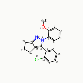 CCOc1ccccc1-n1nc2c(c1-c1ccccc1Cl)C[CH]C2